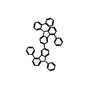 c1ccc(-c2ccccc2-n2c3ccc(-c4ccc5c(c4)c4c(-c6ccccc6)cccc4n5-c4ccccc4)cc3c3c(-c4ccccc4)cccc32)cc1